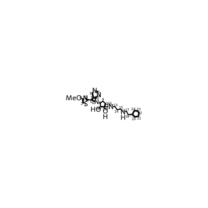 COc1csc(-c2cn([C@@H]3C[C@H](CNCCCNCCc4ccccc4)[C@@H](O)[C@H]3O)c3ncncc23)n1